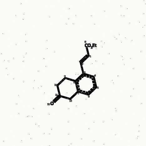 CCOC(=O)/C=C/c1cccc2c1CCC(=O)C2